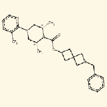 C[C@@H]1CN(c2ncccc2C(F)(F)F)C[C@H](C)N1C(=O)OC1CC2(C1)CN(Cc1ccccc1)C2